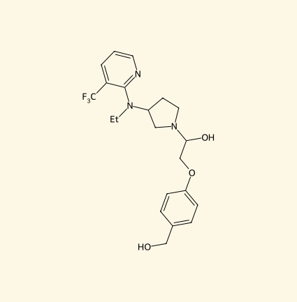 CCN(c1ncccc1C(F)(F)F)C1CCN(C(O)COc2ccc(CO)cc2)C1